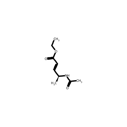 CCOC(=O)/C=C/[C@H](C)NC(C)=O